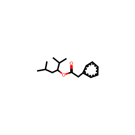 CC(C)CC(OC(=O)Cc1ccccc1)C(C)C